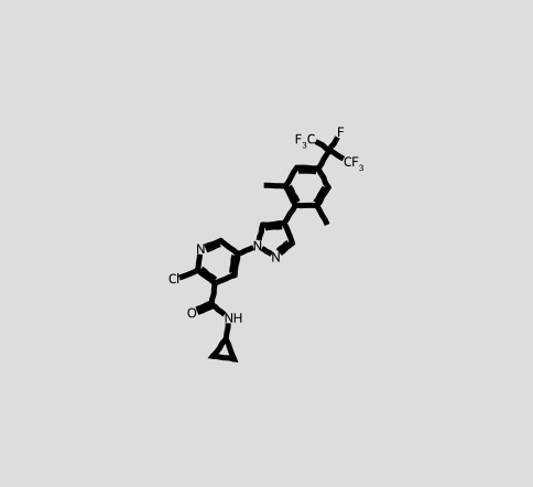 Cc1cc(C(F)(C(F)(F)F)C(F)(F)F)cc(C)c1-c1cnn(-c2cnc(Cl)c(C(=O)NC3CC3)c2)c1